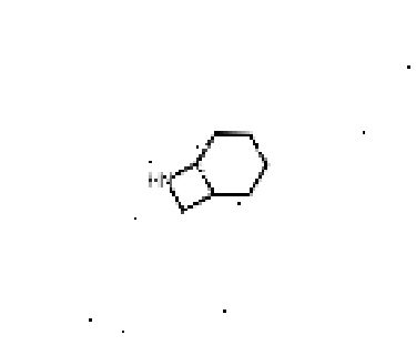 C1CCC2CN[C]2C1